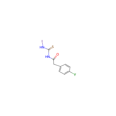 O=C(Cc1ccc(F)cc1)NC(=S)NI